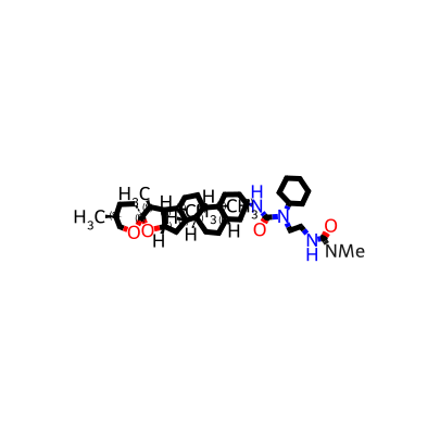 CNC(=O)NCCN(C(=O)N[C@@H]1CC[C@@]2(C)[C@H](CC[C@@H]3[C@@H]2CC[C@]2(C)[C@@H]4[C@H](C[C@@H]32)O[C@]2(CC[C@H](C)CO2)[C@H]4C)C1)C1CCCCC1